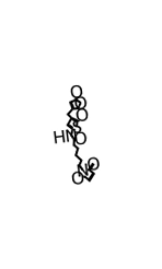 O=C(CCCCCN1C(=O)C=CC1=O)Nc1cc(CC2=CC(=O)OC2=O)cs1